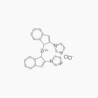 C1=C(n2ccpc2)[CH]([Zr+2][CH]2C(n3ccpc3)=Cc3ccccc32)c2ccccc21.[Cl-].[Cl-]